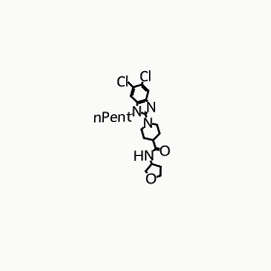 CCCCCn1c(N2CCC(C(=O)NC3CCOC3)CC2)nc2cc(Cl)c(Cl)cc21